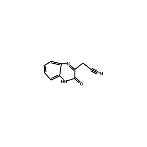 C#CCc1nc2ccccc2[nH]c1=O